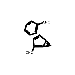 O=Cc1ccc2cc1-2.O=Cc1ccccc1